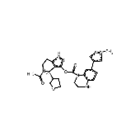 CC(=O)N1CCc2[nH]nc(OC(=O)N3CCNc4ccc(-c5cnn(C)c5)cc43)c2[C@H]1C1CCOC1